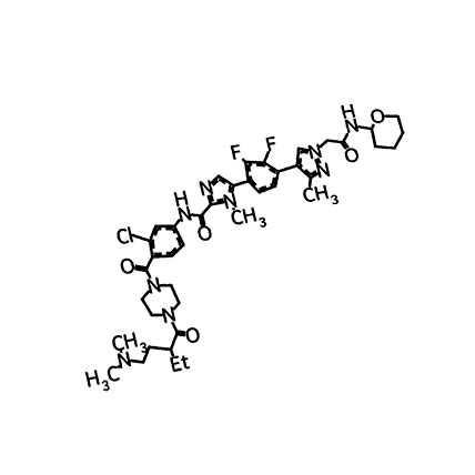 CCC(CCN(C)C)C(=O)N1CCN(C(=O)c2ccc(NC(=O)c3ncc(-c4ccc(-c5cn(CC(=O)NC6CCCCO6)nc5C)c(F)c4F)n3C)cc2Cl)CC1